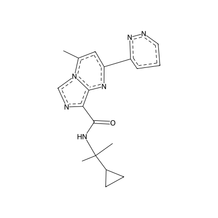 Cc1cc(-c2cccnn2)nc2c(C(=O)NC(C)(C)C3CC3)ncn12